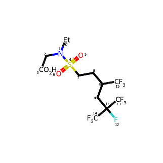 CCN(CC(=O)O)S(=O)(=O)CCC(CC(F)(C(F)(F)F)C(F)(F)F)C(F)(F)F